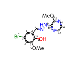 COc1cc(Br)cc(/C=N/Nc2nccnc2OC)c1O